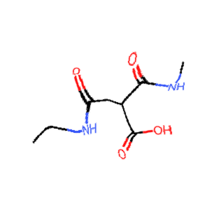 CCNC(=O)C(C(=O)O)C(=O)NC